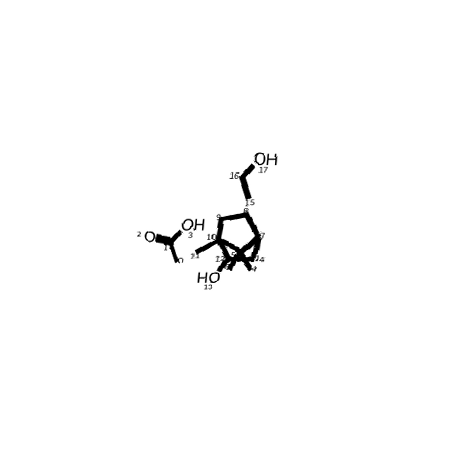 CC(=O)O.CC1(C)C2CCC1(C)C(O)C2.CCO